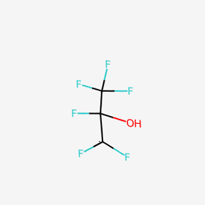 OC(F)([C](F)F)C(F)(F)F